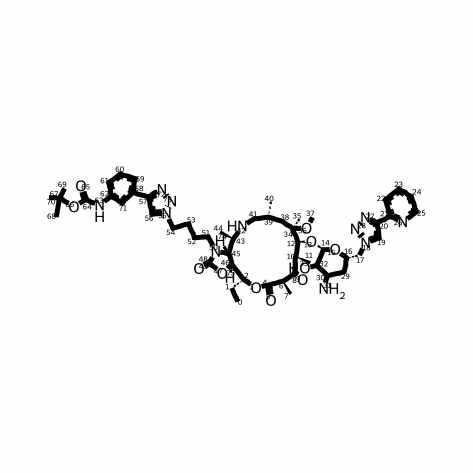 CC[C@H]1OC(=O)[C@H](C)C(=O)[C@H](C)[C@@H](O[C@@H]2O[C@H](Cn3cc(-c4ccccn4)nn3)CC(N)C2O)[C@](C)(OC)C[C@@H](C)CN[C@H](C)[C@@H]2[C@@H]1OC(=O)N2CCCCn1cc(-c2cccc(NC(=O)OC(C)(C)C)c2)nn1